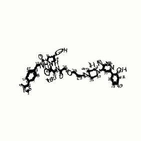 Cc1ncsc1-c1ccc(CNC(=O)[C@@H]2C[C@@H](O)CN2C(=O)[C@@H](NC(=O)COCCN2CCN(c3cc(-c4ccccc4O)nnc3N)CC2)C(C)(C)C)cc1